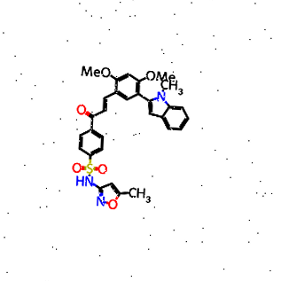 COc1cc(OC)c(-c2cc3ccccc3n2C)cc1C=CC(=O)c1ccc(S(=O)(=O)Nc2cc(C)on2)cc1